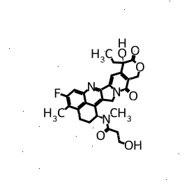 CC[C@@]1(O)C(=O)OCc2c1cc1n(c2=O)Cc2c-1nc1cc(F)c(C)c3c1c2[C@@H](N(C)C(=O)CCO)CC3